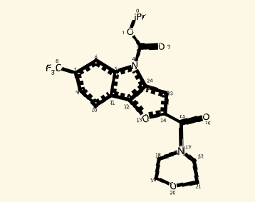 CC(C)OC(=O)n1c2cc(C(F)(F)F)ccc2c2oc(C(=O)N3CCOCC3)cc21